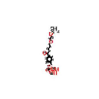 CCOCCOCCCCC(=O)c1ccc(COP(=O)(O)O)cc1